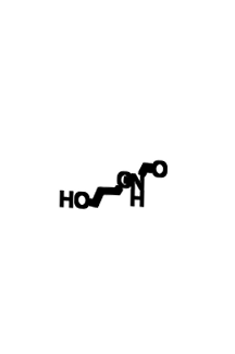 O=CNOCCCO